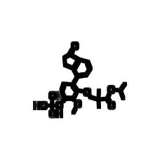 COc1c(OC(O)(O)O)ccc(-c2cccc3c2CCC3=O)c1OCC(C)(C)C(=O)OC(C)C